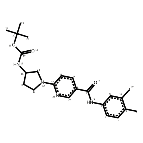 Cc1ccc(NC(=O)c2ccc(N3CCC(NC(=O)OC(C)(C)C)C3)nc2)cc1I